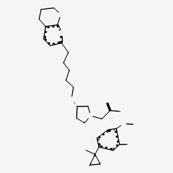 COc1c(F)cc(C2(C)CC2)cc1[C@@H](C(=O)O)N1CC[C@@H](OCCCCCc2ccc3c(n2)NCCC3)C1